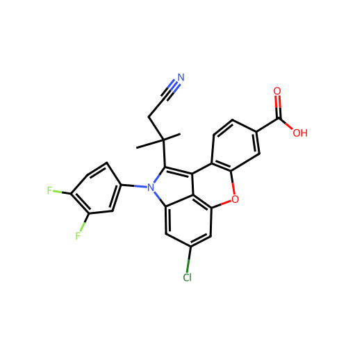 CC(C)(CC#N)c1c2c3c(cc(Cl)cc3n1-c1ccc(F)c(F)c1)Oc1cc(C(=O)O)ccc1-2